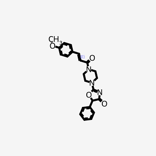 COc1ccc(/C=C/C(=O)N2CCN(C3=NC(=O)C(c4ccccc4)O3)CC2)cc1